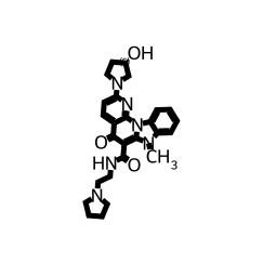 Cn1c2ccccc2n2c3nc(N4CC[C@H](O)C4)ccc3c(=O)c(C(=O)NCCN3CCCC3)c12